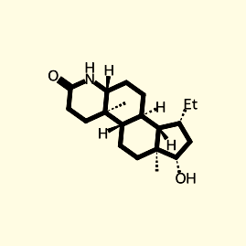 CC[C@@H]1C[C@H](O)[C@@]2(C)CC[C@H]3[C@@H](CC[C@H]4NC(=O)CC[C@@]43C)[C@H]12